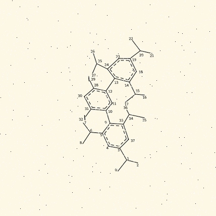 CC(C)c1cc(C(C)C)c(-c2cc(-c3c(C(C)C)cc(C(C)C)cc3C(C)C)c(I)cc2I)c(C(C)C)c1